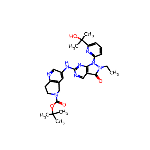 CCn1c(=O)c2cnc(Nc3cnc4c(c3)CN(C(=O)OC(C)(C)C)CC4)nc2n1-c1cccc(C(C)(C)O)n1